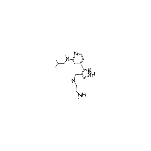 CNCCN(C)Cc1c[nH]nc1-c1ccnc(N(C)CC(C)C)c1